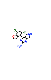 Nc1nc2c(c(-c3c(Cl)cc(Cl)c4c3CCO4)n1)CNC2